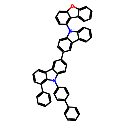 c1ccc(-c2ccc(-n3c4ccc(-c5ccc6c(c5)c5ccccc5n6-c5cccc6oc7ccccc7c56)cc4c4cccc(-c5ccccc5)c43)cc2)cc1